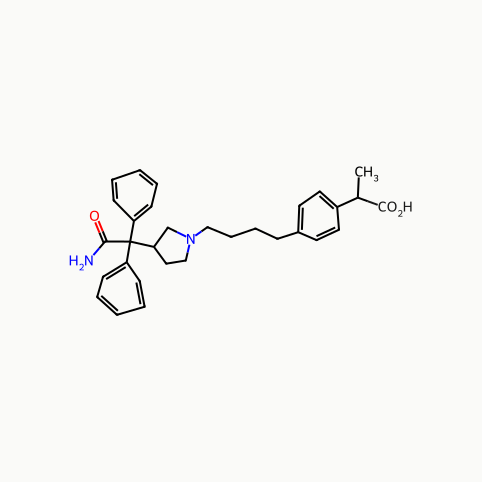 CC(C(=O)O)c1ccc(CCCCN2CCC(C(C(N)=O)(c3ccccc3)c3ccccc3)C2)cc1